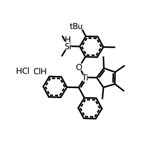 CC1=C(C)C(C)[C]([Ti]([O]c2cc(C)cc(C(C)(C)C)c2[SiH](C)C)=[C](c2ccccc2)c2ccccc2)=C1C.Cl.Cl